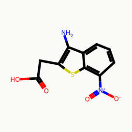 Nc1c(CC(=O)O)sc2c([N+](=O)[O-])cccc12